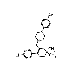 CC(=O)c1ccc(N2CCN(CC3=C(c4ccc(Cl)cc4)CCC(C)(C)C3)CC2)cc1